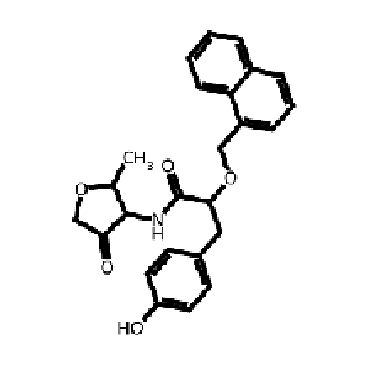 CC1OCC(=O)C1NC(=O)C(Cc1ccc(O)cc1)OCc1cccc2ccccc12